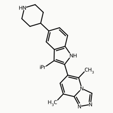 Cc1cc(-c2[nH]c3ccc(C4CCNCC4)cc3c2C(C)C)c(C)n2cnnc12